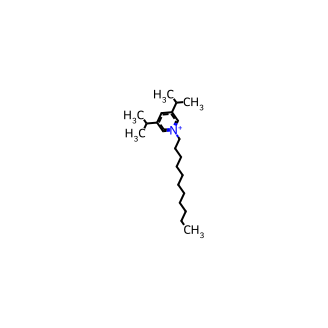 CCCCCCCCCCC[n+]1cc(C(C)C)cc(C(C)C)c1